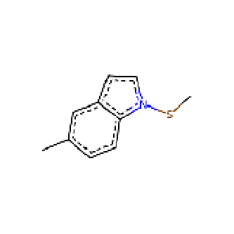 CSn1ccc2cc(C)ccc21